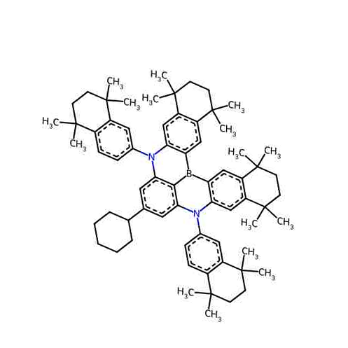 CC1(C)CCC(C)(C)c2cc(N3c4cc5c(cc4B4c6cc7c(cc6N(c6ccc8c(c6)C(C)(C)CCC8(C)C)c6cc(C8CCCCC8)cc3c64)C(C)(C)CCC7(C)C)C(C)(C)CCC5(C)C)ccc21